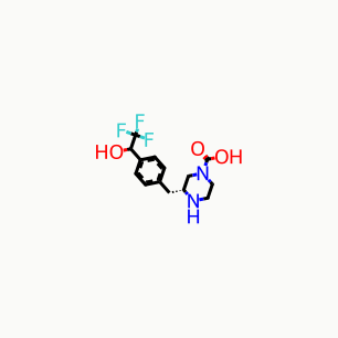 O=C(O)N1CCN[C@H](Cc2ccc(C(O)C(F)(F)F)cc2)C1